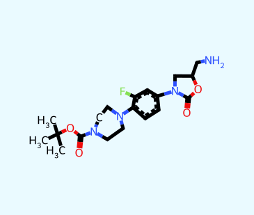 CC(C)(C)OC(=O)N1CCN(c2ccc(N3CC(CN)OC3=O)cc2F)CC1